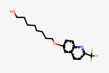 OCCCCCCCCOc1ccc2nc(C(F)(F)F)ccc2c1